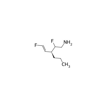 CCC[C@@H](/C=C/F)C(F)CN